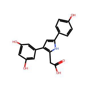 O=C(O)Cc1[nH]c(-c2ccc(O)cc2)cc1-c1cc(O)cc(O)c1